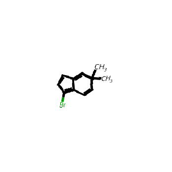 CC1(C)C=CC2=C(Br)C=CC2=C1